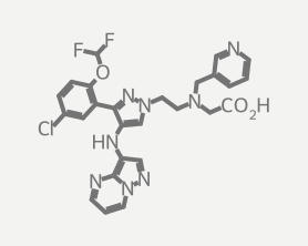 O=C(O)CN(CCn1cc(Nc2cnn3cccnc23)c(-c2cc(Cl)ccc2OC(F)F)n1)Cc1cccnc1